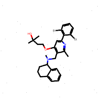 CCc1cccc(CC)c1-c1cc(OCCC(C)(C)O)c(CN(C)C2CCCc3ccccc32)c(C)n1